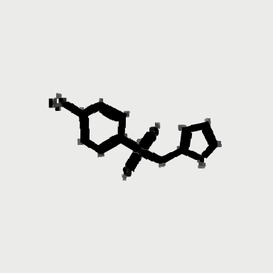 Nc1ccc(S(=O)(=O)[CH]c2cccs2)cc1